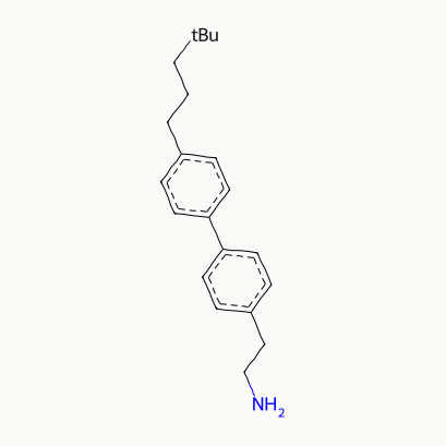 CC(C)(C)CCCc1ccc(-c2ccc(CCN)cc2)cc1